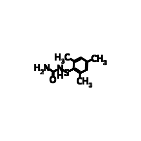 Cc1cc(C)c(SNC(N)=O)c(C)c1